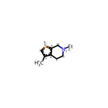 CCN1CCc2c(C)csc2C1